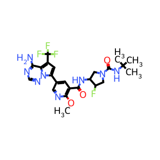 COc1ncc(-c2cc(C(F)(F)F)c3c(N)ncnn23)cc1C(=O)NC1CN(C(=O)NC(C)(C)C)CC1F